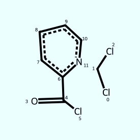 ClCCl.O=C(Cl)c1ccccn1